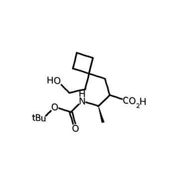 C[C@@H](NC(=O)OC(C)(C)C)C(CC1(CCO)CCC1)C(=O)O